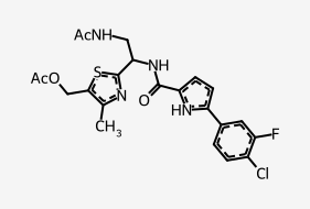 CC(=O)NCC(NC(=O)c1ccc(-c2ccc(Cl)c(F)c2)[nH]1)c1nc(C)c(COC(C)=O)s1